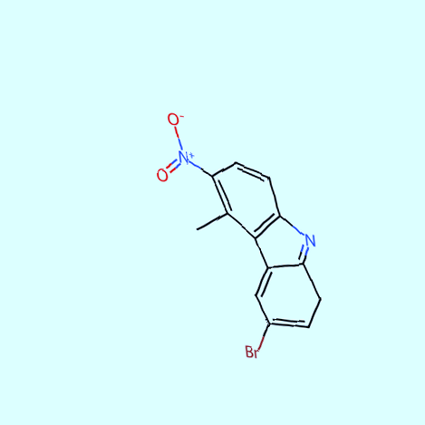 Cc1c([N+](=O)[O-])ccc2c1C1=CC(Br)=CCC1=N2